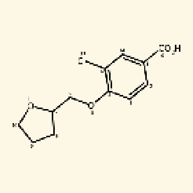 O=C(O)c1ccc(OCC2CCCO2)c(Cl)c1